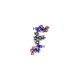 COC(=O)N[C@H](C(=O)N1CCC[C@H]1c1nc(-c2ccc([C@H]3CC[C@@H](c4ccc(-c5c[nH]c([C@@H]6CCCN6C(=O)[C@@H](NC(=O)OC)C(C)C)n5)cc4)N3c3ccc(C(C)(C)C)cc3)cc2)c[nH]1)C(C)C